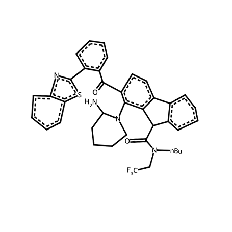 CCCCN(CC(F)(F)F)C(=O)C1c2ccccc2-c2ccc(C(=O)c3ccccc3-c3nc4ccccc4s3)c(N3CCCCC3N)c21